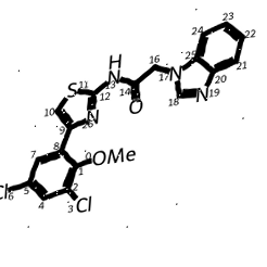 COc1c(Cl)cc(Cl)cc1-c1csc(NC(=O)Cn2cnc3ccccc32)n1